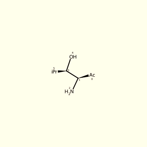 CC(=O)[C@@H](N)[C@H](O)C(C)C